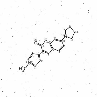 C[n+]1ccc(-c2cc3ccc(N4CCCC4)cc3oc2=O)cc1